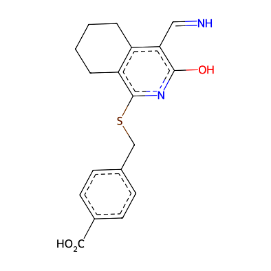 N=Cc1c(O)nc(SCc2ccc(C(=O)O)cc2)c2c1CCCC2